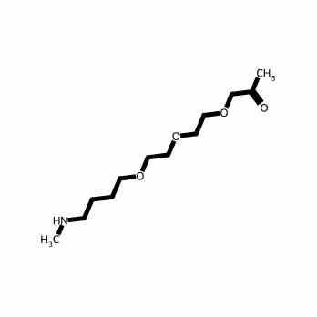 CNCCCCOCCOCCOCC(C)=O